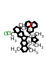 CC1=CC(C)[C]([Zr+2](=[C](Cc2ccccc2)Cc2ccccc2)[CH]2c3cc4c(cc3-c3cc5c(cc32)C(C)(C)CC=C5C)C(C)=CCC4(C)C)=C1.[Cl-].[Cl-]